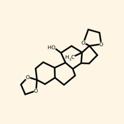 CC12CC(O)C3C4CCC5(CC4CCC3C1CCC21OCCO1)OCCO5